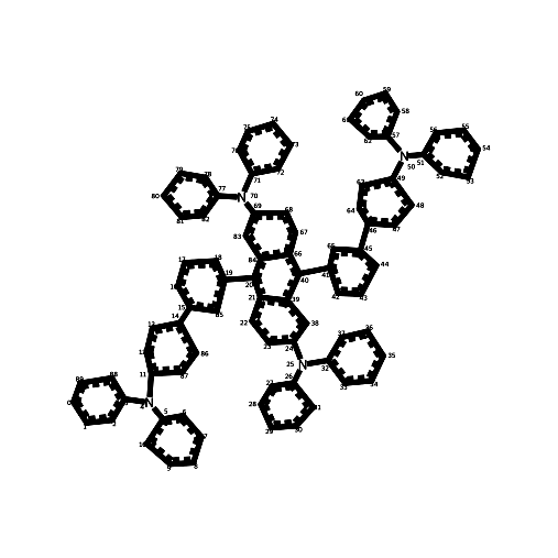 c1ccc(N(c2ccccc2)c2ccc(-c3cccc(-c4c5ccc(N(c6ccccc6)c6ccccc6)cc5c(-c5cccc(-c6ccc(N(c7ccccc7)c7ccccc7)cc6)c5)c5ccc(N(c6ccccc6)c6ccccc6)cc45)c3)cc2)cc1